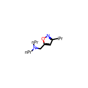 CCCN(CCC)Cc1cc(C(C)C)no1